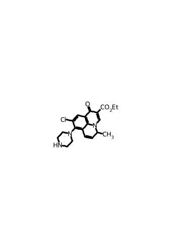 CCOC(=O)c1cn2c3c(c(N4CCNCC4)c(Cl)cc3c1=O)C=CC2C